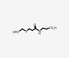 O=[C]CSCCC(=O)NCCC(=O)O